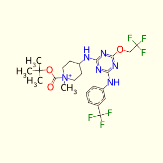 CC(C)(C)OC(=O)[N+]1(C)CCC(Nc2nc(Nc3cccc(C(F)(F)F)c3)nc(OCC(F)(F)F)n2)CC1